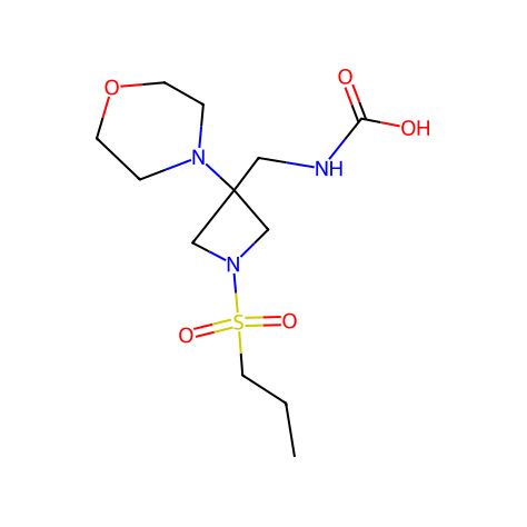 CCCS(=O)(=O)N1CC(CNC(=O)O)(N2CCOCC2)C1